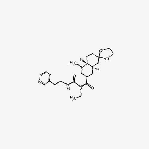 CCN(C(=O)NCCc1cccnc1)C(=O)[C@@H]1C[C@@H]2CC3(CC[C@H]2N(C)C1)OCCO3